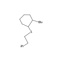 CC(C)CCSC1CCCCC1C(C)(C)C